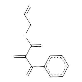 C=C(C(=O)OCC=O)C(=O)c1ccccc1